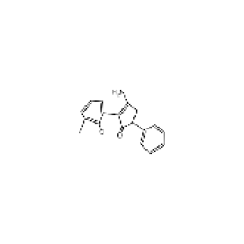 Cc1cccc(C2=C(N)CC(c3ccccc3)C2=O)c1Cl